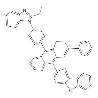 CCc1nc2ccccc2n1-c1ccc(-c2c3ccccc3c(-c3ccc4oc5ccccc5c4c3)c3cc(-c4ccccc4)ccc23)cc1